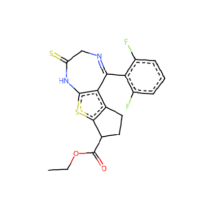 CCOC(=O)C1CCc2c1sc1c2C(c2c(F)cccc2F)=NCC(=S)N1